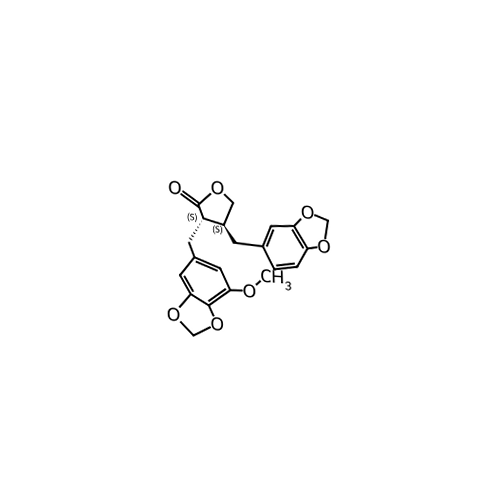 COc1cc(C[C@@H]2C(=O)OC[C@H]2Cc2ccc3c(c2)OCO3)cc2c1OCO2